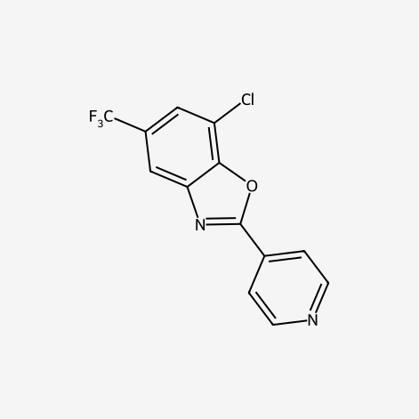 FC(F)(F)c1cc(Cl)c2oc(-c3ccncc3)nc2c1